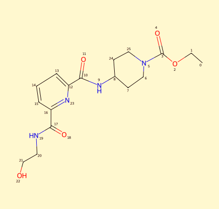 CCOC(=O)N1CCC(NC(=O)c2cccc(C(=O)NCCO)n2)CC1